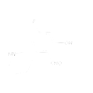 C1CCNCC1.O=Cc1ccc(F)cc1O